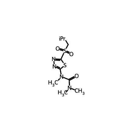 CC(C)CS(=O)(=O)c1nnc(N(C)C(=O)N(C)C)s1